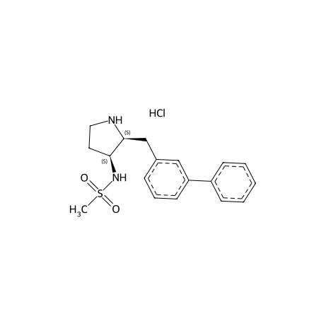 CS(=O)(=O)N[C@H]1CCN[C@H]1Cc1cccc(-c2ccccc2)c1.Cl